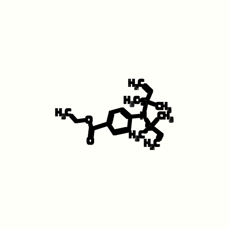 C=C[Si](C)(C)N(c1ccc(C(=O)OCC)cc1)[Si](C)(C)C=C